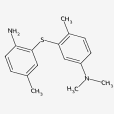 Cc1ccc(N)c(Sc2cc(N(C)C)ccc2C)c1